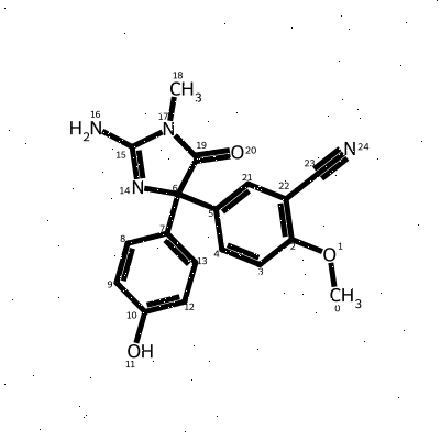 COc1ccc(C2(c3ccc(O)cc3)N=C(N)N(C)C2=O)cc1C#N